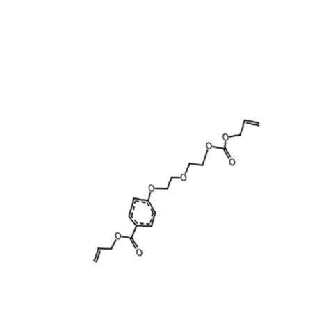 C=CCOC(=O)OCCOCCOc1ccc(C(=O)OCC=C)cc1